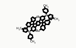 Cc1ccc(N(c2ccc(C)cc2)c2ccc3c(c2)C2(c4cc(C(C)(C)C)ccc4-c4ccc(C(C)(C)C)cc42)c2cc4c(cc2-3)C2(c3cc(N(c5ccc(C)cc5)c5ccc(C)cc5)ccc3-4)c3cc(C(C)(C)C)ccc3-c3ccc(C(C)(C)C)cc32)cc1